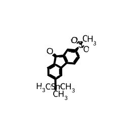 CS(=O)(=O)c1ccc2c(c1)C(=O)c1cc[c]([Sn]([CH3])([CH3])[CH3])cc1-2